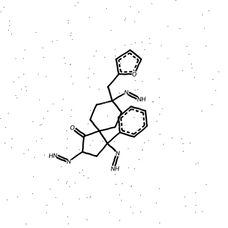 N=NC1CC(N=N)(c2ccccc2)C2(CCC(Cc3ccco3)(N=N)CC2)C1=O